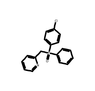 O=P(Cc1ccccn1)(c1ccccc1)c1ccc(Cl)cc1